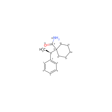 C[C@H](c1ccccc1)C1(C(N)=O)CCCCC1